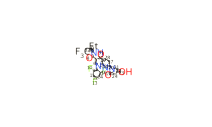 CC[C@@H](NC(=O)c1cn(-c2c(F)cc(F)cc2F)c2nc(N3C[C@@H](O)CC3=O)ccc2c1=O)C(F)(F)F